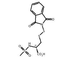 CS(=O)(=O)N[C@@H](CSSN1C(=O)c2ccccc2C1=O)C(=O)O